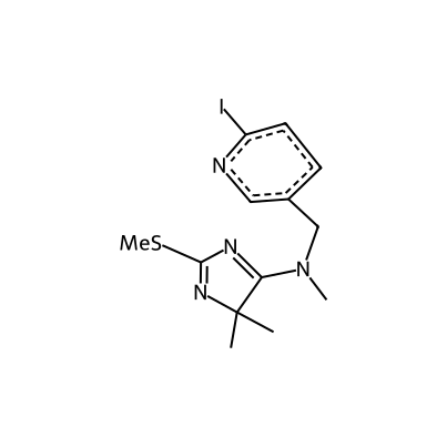 CSC1=NC(C)(C)C(N(C)Cc2ccc(I)nc2)=N1